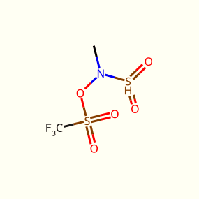 CN(OS(=O)(=O)C(F)(F)F)[SH](=O)=O